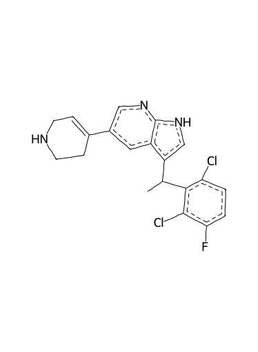 CC(c1c(Cl)ccc(F)c1Cl)c1c[nH]c2ncc(C3=CCNCC3)cc12